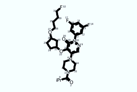 CC(C)C(=O)N1CCN(c2cnn(-c3cc(F)cc(F)c3)c(=O)c2OC2CCC(OCCCCF)C2)CC1